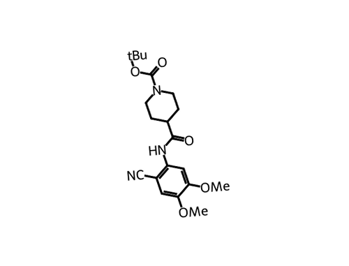 COc1cc(C#N)c(NC(=O)C2CCN(C(=O)OC(C)(C)C)CC2)cc1OC